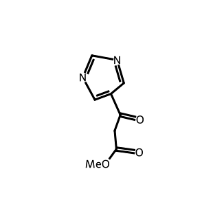 COC(=O)CC(=O)c1cncnc1